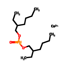 CCCCC(CC)CO[PH](=O)OCC(CC)CCCC.[Co+2]